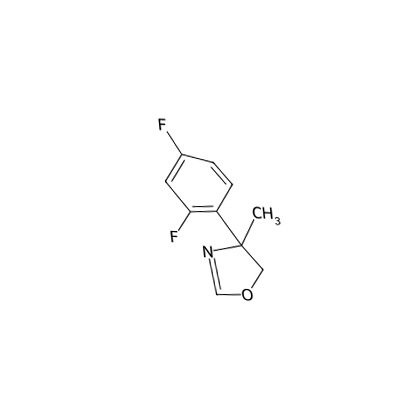 CC1(c2ccc(F)cc2F)COC=N1